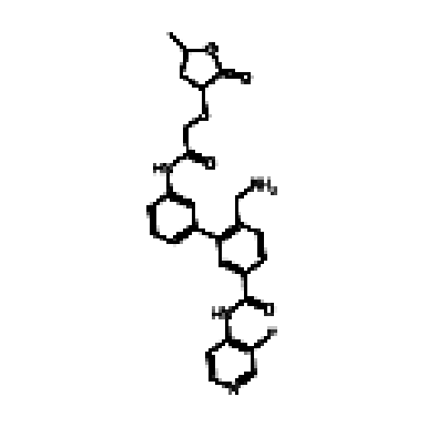 CC1CC(SCC(=O)Nc2cccc(-c3cc(C(=O)Nc4ccncc4F)ccc3CN)c2)C(=O)O1